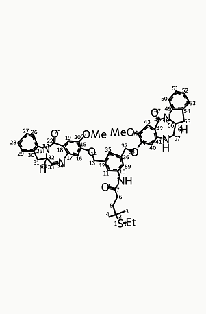 CCSC(C)(C)CCC(=O)Nc1cc(COc2cc3c(cc2OC)C(=O)N2c4ccccc4C[C@H]2C=N3)cc(COc2cc3c(cc2OC)C(=O)N2c4ccccc4C[C@H]2CN3)c1